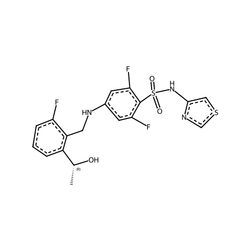 C[C@@H](O)c1cccc(F)c1CNc1cc(F)c(S(=O)(=O)Nc2cscn2)c(F)c1